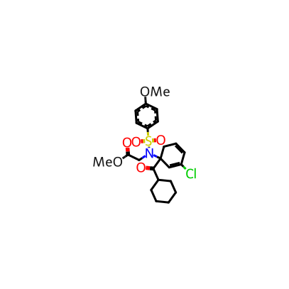 COC(=O)CN(C1(C(=O)C2CCCCC2)C=C(Cl)C=CC1)S(=O)(=O)c1ccc(OC)cc1